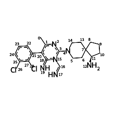 Cc1nc(N2CCC3(CCC[C@H]3N)CC2)n(C=N)c(=N)c1-c1cccc(Cl)c1Cl